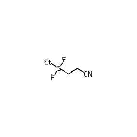 CCS(F)(F)CCC#N